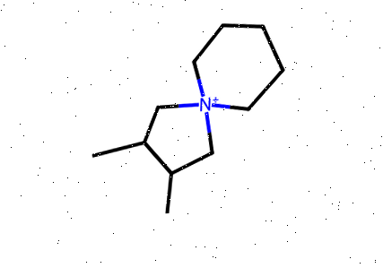 CC1C[N+]2(CCCCC2)CC1C